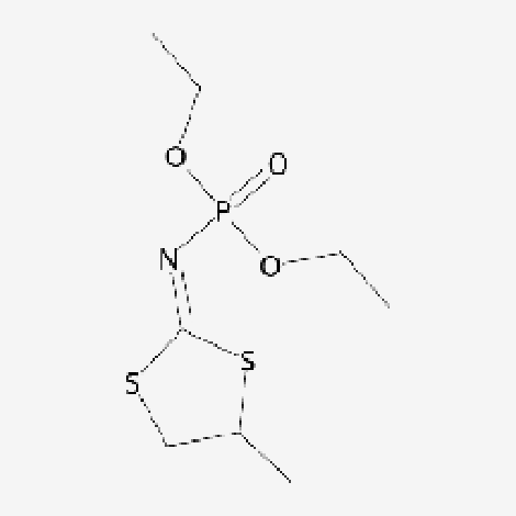 CCOP(=O)(N=C1SCC(C)S1)OCC